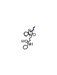 C=C/C=C1/C(=O)N(CCCC(O)NC2CCCCCC2)C2=C(CCC=C2)N1C